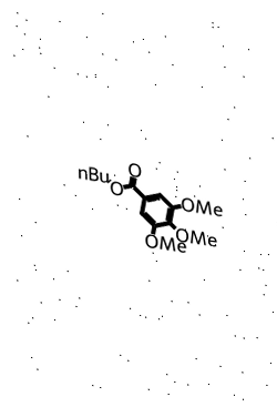 CCCCOC(=O)c1cc(OC)c(OC)c(OC)c1